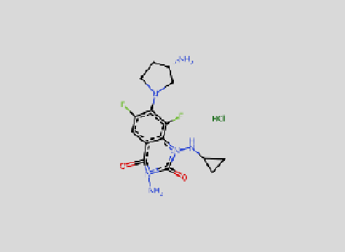 Cl.N[C@H]1CCN(c2c(F)cc3c(=O)n(N)c(=O)n(NC4CC4)c3c2F)C1